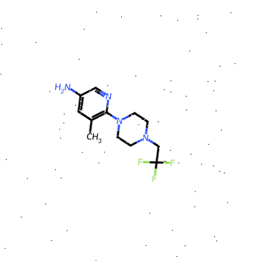 Cc1cc(N)cnc1N1CCN(CC(F)(F)F)CC1